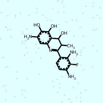 CC1C(c2ccc(N)c(F)c2N)=Nc2cc(N)c(O)c(O)c2C1O